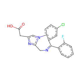 O=C(O)Cc1cn2c(n1)CN=C(c1ccccc1F)c1cc(Cl)ccc1-2